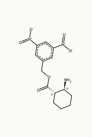 N[C@H]1CCCC[C@@H]1C(=O)OCc1cc([N+](=O)[O-])cc([N+](=O)[O-])c1